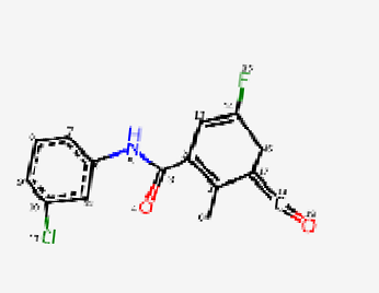 CC1=C(C(=O)Nc2cccc(Cl)c2)C=C(F)CC1=C=O